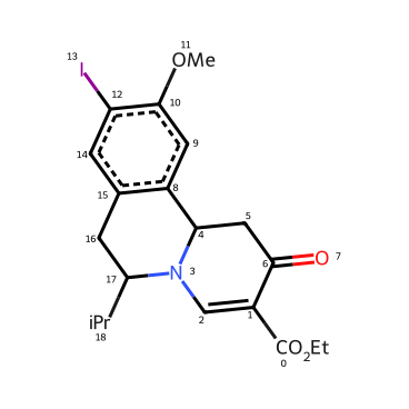 CCOC(=O)C1=CN2C(CC1=O)c1cc(OC)c(I)cc1CC2C(C)C